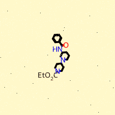 CCOC(=O)N1CCC(N2CCC[C@@H](NC(=O)c3ccccc3)C2)CC1